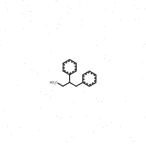 O=C(O)CC(Cc1ccccc1)c1ccccc1